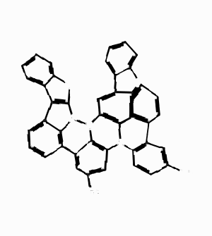 CC(C)(C)c1ccc(N2c3cc4oc5ccccc5c4cc3B3c4c(cc(C(C)(C)C)cc42)-c2cccc4c5c6ccccc6oc5n3c24)c(-c2ccccc2)c1